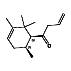 C=CCC(=O)[C@H]1[C@@H](C)CC=C(C)C1(C)C